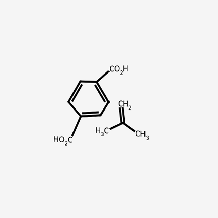 C=C(C)C.O=C(O)c1ccc(C(=O)O)cc1